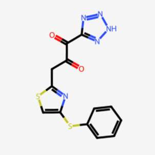 O=C(Cc1nc(Sc2ccccc2)cs1)C(=O)c1nn[nH]n1